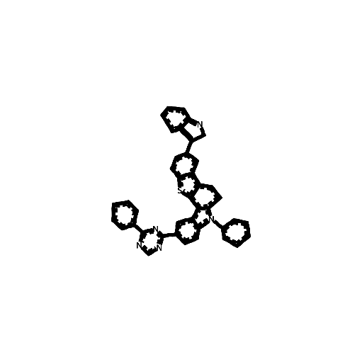 c1ccc(-c2ncnc(-c3ccc4c(c3)c3c5sc6ccc(C7=c8ccccc8=NC7)cc6c5ccc3n4-c3ccccc3)n2)cc1